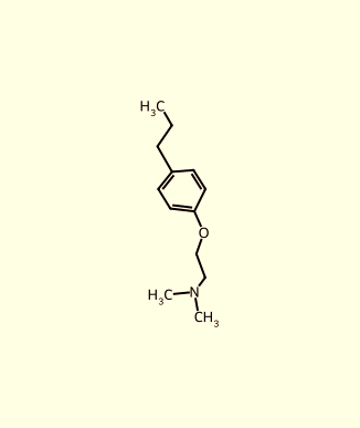 CCCc1ccc(OCCN(C)C)cc1